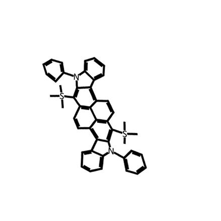 CS(C)(C)c1c2ccc3c4c(ccc(c24)c2c4ccccc4n(-c4ccccc4)c12)c(S(C)(C)C)c1c3c2ccccc2n1-c1ccccc1